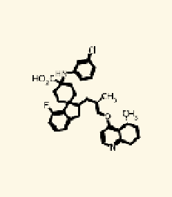 C[C@@H](COc1ccnc2c1[C@H](C)CCC2)CC1Cc2cccc(F)c2C12CCC(Nc1cccc(Cl)c1)(C(=O)O)CC2